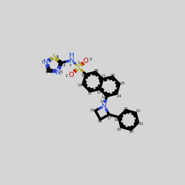 O=S(=O)(Nc1ncns1)c1ccc2c(N3CCC3c3ccccc3)cccc2c1